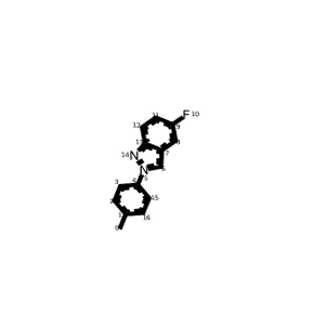 Cc1ccc(-n2cc3cc(F)ccc3n2)cc1